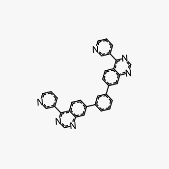 c1cc(-c2ccc3c(-c4cccnc4)ncnc3c2)cc(-c2ccc3c(-c4cccnc4)ncnc3c2)c1